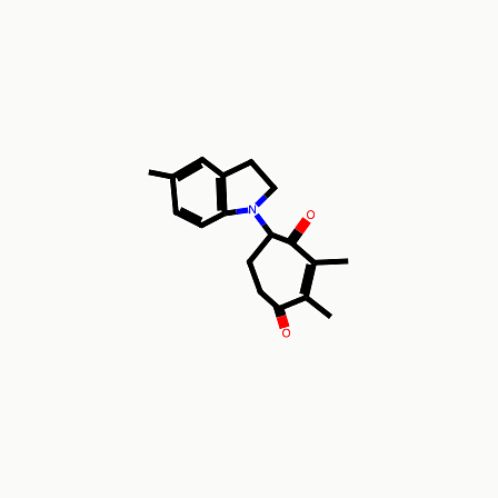 CC1=C(C)C(=O)C(N2CCc3cc(C)ccc32)CCC1=O